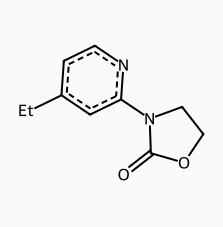 CCc1ccnc(N2CCOC2=O)c1